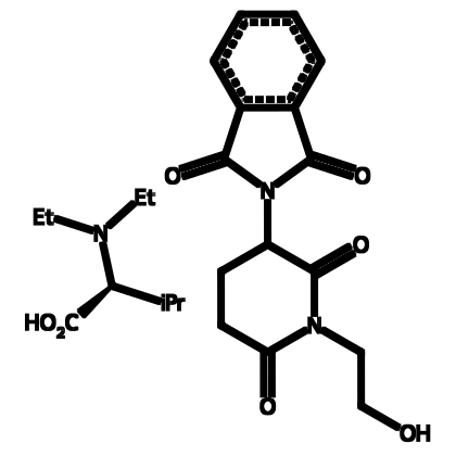 CCN(CC)[C@H](C(=O)O)C(C)C.O=C1CCC(N2C(=O)c3ccccc3C2=O)C(=O)N1CCO